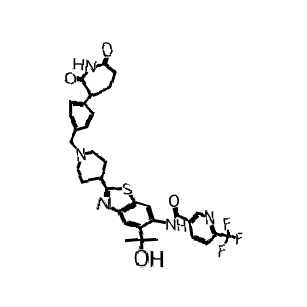 CC(C)(O)c1cc2nc(C3CCN(Cc4ccc(C5CCC(=O)NC5=O)cc4)CC3)sc2cc1NC(=O)c1ccc(C(F)(F)F)nc1